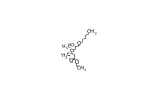 CCCCCCOCC(COC(C)CC(=O)OCC)OC